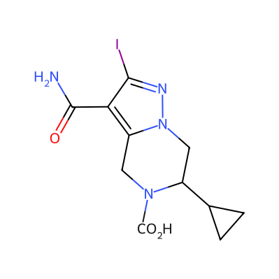 NC(=O)c1c(I)nn2c1CN(C(=O)O)C(C1CC1)C2